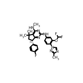 CNc1nc(Nc2ccc(-n3cnc(C)n3)c(OC(F)F)c2)nc2c1C(C)(C)C[C@H]2c1c#cc(F)cc1